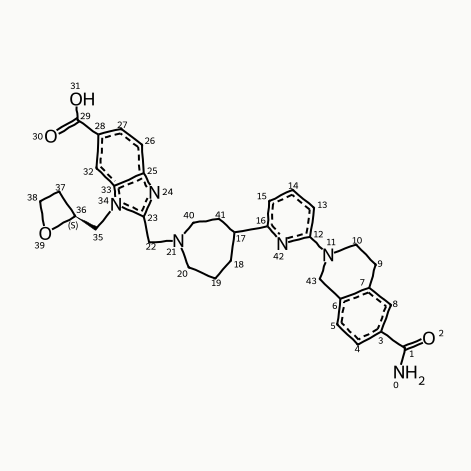 NC(=O)c1ccc2c(c1)CCN(c1cccc(C3CCCN(Cc4nc5ccc(C(=O)O)cc5n4C[C@@H]4CCO4)CC3)n1)C2